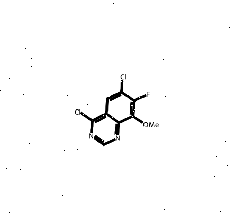 COc1c(F)c(Cl)cc2c(Cl)ncnc12